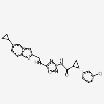 O=C(Nc1noc(NCc2cn3cc(C4CC4)ccc3n2)n1)[C@H]1C[C@@H]1c1cccc(Cl)c1